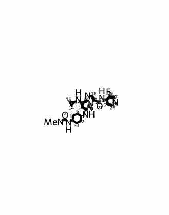 CNC(=O)N[C@H]1CC[C@H](Nc2cc(NC3CC3)c3ncc(C(=O)Nc4ccncc4F)n3n2)CC1